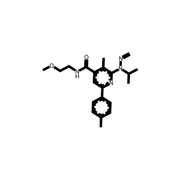 C=NN(c1nc(-c2ccc(C)cc2)cc(C(=O)NCCOC)c1C)C(C)C